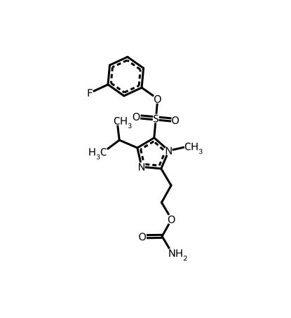 CC(C)c1nc(CCOC(N)=O)n(C)c1S(=O)(=O)Oc1cccc(F)c1